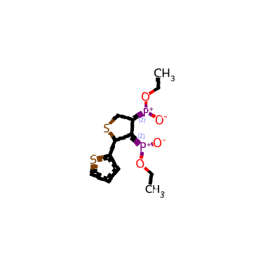 CCO/[P+]([O-])=C1\CSC(c2cccs2)\C1=[P+](\[O-])OCC